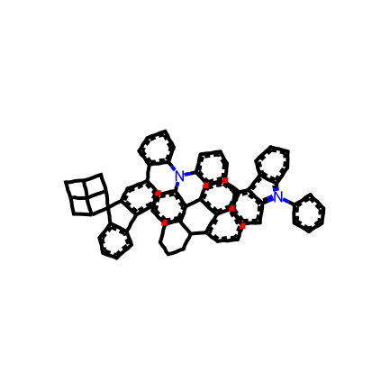 c1ccc(-n2c3ccccc3c3c(-c4cccc(N(c5ccccc5-c5ccc6c(c5)C5(c7ccccc7-6)C6CC7CC8CC5C786)c5ccccc5-c5cccc6cccc(C7CCCCC7)c56)c4)cccc32)cc1